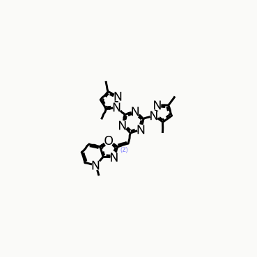 Cc1cc(C)n(-c2nc(/C=c3/nc4c(o3)=CC=CN4C)nc(-n3nc(C)cc3C)n2)n1